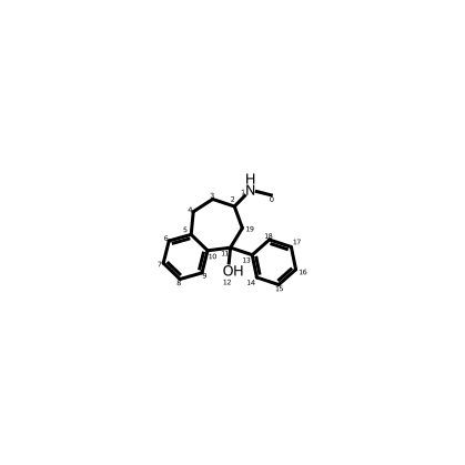 CNC1CCc2ccccc2C(O)(c2ccccc2)C1